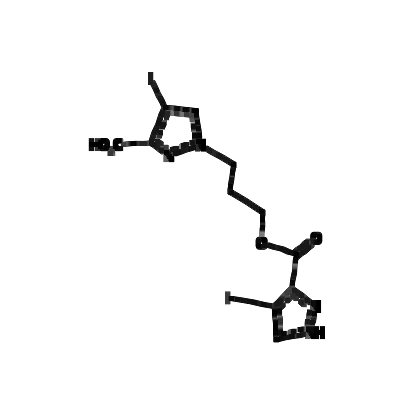 O=C(O)c1nn(CCCOC(=O)c2n[nH]cc2I)cc1I